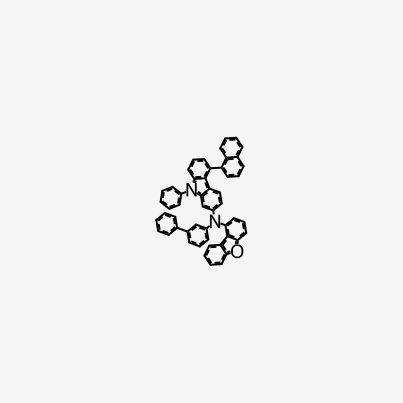 c1ccc(-c2cccc(N(c3ccc4c5c(-c6cccc7ccccc67)cccc5n(-c5ccccc5)c4c3)c3cccc4oc5ccccc5c34)c2)cc1